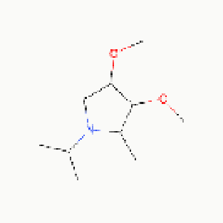 COC1CN(C(C)C)C(C)C1OC